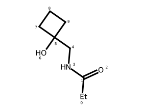 CCC(=O)NCC1(O)CCC1